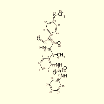 CC(c1ccncc1NS(=O)(=O)Nc1ccccc1)C1NC(=O)N(c2ccc(SC(F)(F)F)cc2)C1=O